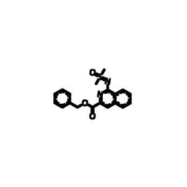 CS(C)(=O)=Nc1nc(C(=O)OCc2ccccc2)cc2ccccc12